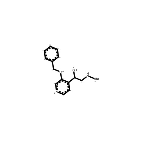 CC(C)(C)NCC(O)c1ccncc1OCc1ccccc1